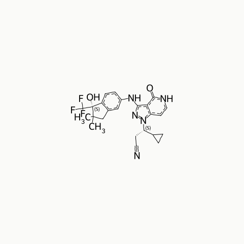 CC1(C)Cc2cc(Nc3nn([C@@H](CC#N)C4CC4)c4cc[nH]c(=O)c34)ccc2[C@]1(O)C(F)(F)F